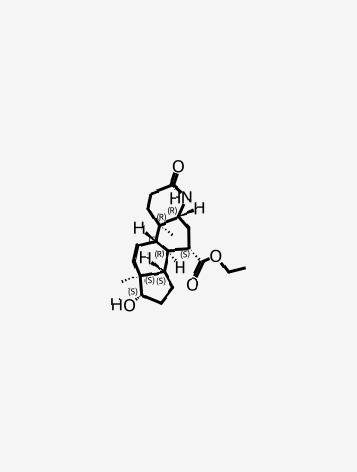 CCOC(=O)[C@H]1C[C@H]2NC(=O)CC[C@]2(C)[C@H]2CC[C@]3(C)[C@@H](O)CC[C@H]3[C@H]12